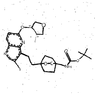 C[C@H]1COC[C@@H]1Oc1ccc2ncc(F)c(CCC34CCC(NC(=O)OC(C)(C)C)(CC3)CO4)c2n1